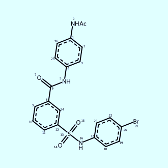 CC(=O)Nc1ccc(NC(=O)c2cccc(S(=O)(=O)Nc3ccc(Br)cc3)c2)cc1